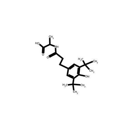 CC(NC(=O)CCc1cc(C(C)(C)C)c(O)c(C(C)(C)C)c1)C(=O)O